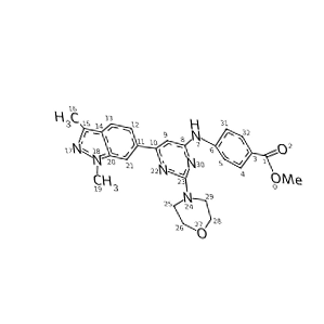 COC(=O)c1ccc(Nc2cc(-c3ccc4c(C)nn(C)c4c3)nc(N3CCOCC3)n2)cc1